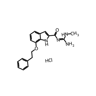 CNC(N)=NC(=O)c1cc2cccc(OCCc3ccccc3)c2[nH]1.Cl